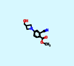 COC(=O)c1ccc(N2CC(CO)C2)cc1C#N